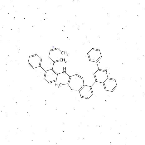 C=C(C/C=C\C)c1c(NC2=C(C)Cc3cccc(-c4cc(-c5ccccc5)nc5ccccc45)c3C=C2)cccc1-c1ccccc1